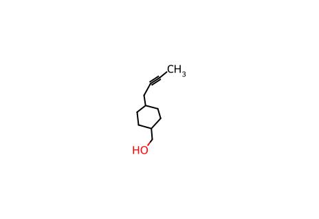 CC#CCC1CCC(CO)CC1